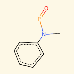 CN(P=O)c1ccccc1